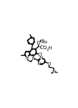 Cc1ccc(-c2c([C@H](OC(C)(C)C)C(=O)O)c(Cl)c3c4c2cc(C)n4CCN3c2ncc(OCCN(C)C)cn2)cc1